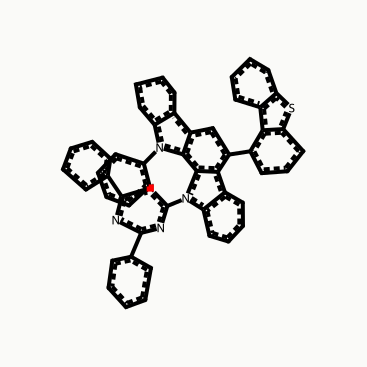 c1ccc(-c2nc(-c3ccccc3)nc(-n3c4ccccc4c4c(-c5cccc6sc7ccccc7c56)cc5c6ccccc6n(-c6ccccc6)c5c43)n2)cc1